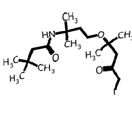 CC(C)(C)CC(=O)NC(C)(C)CCOC(C)(C)CC(=O)CI